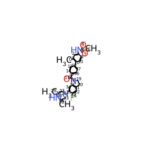 Cc1cc(NS(C)(=O)=O)ccc1-c1ccc(C(=O)N2CCc3cc(F)c(N4C[C@@H](C)N[C@@H](C)C4)cc32)cc1